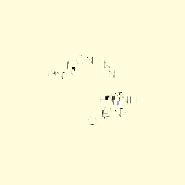 N=C(/C(C(N)=O)=C1/NCC[C@@H](C2CCC(N3CCN(CC4CCN(c5ccc6c(c5)C(=O)N(C5CCC(=O)NC5=O)C6=O)CC4)CC3)CC2)N1)c1ccc(Oc2ccccc2)cc1